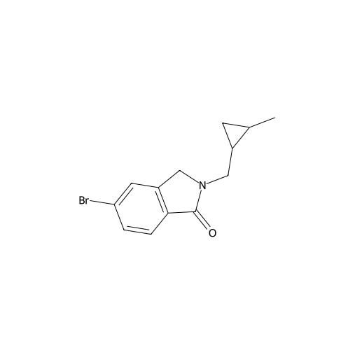 CC1CC1CN1Cc2cc(Br)ccc2C1=O